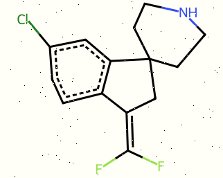 FC(F)=C1CC2(CCNCC2)c2cc(Cl)ccc21